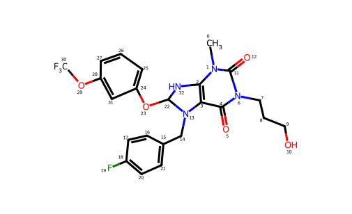 Cn1c2c(c(=O)n(CCCO)c1=O)N(Cc1ccc(F)cc1)C(Oc1cccc(OC(F)(F)F)c1)N2